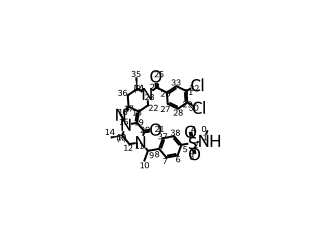 CNS(=O)(=O)c1ccc(C(C)N2C[C@@H](C)n3nc4c(c3C2=O)CN(C(=O)c2ccc(Cl)c(Cl)c2)[C@H](C)C4)cc1